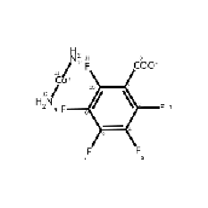 O=C([O-])c1c(F)c(F)c(F)c(F)c1F.[NH2][Co+][NH2]